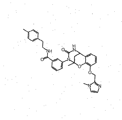 Cc1ccc(CCNC(=O)c2cccc(N3C(=O)NC4CC3(C)Oc3c(OCc5nccn5C)cccc34)c2)cc1